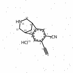 C#Cc1cc2c(cc1C#N)C1CNCC2C1.Cl